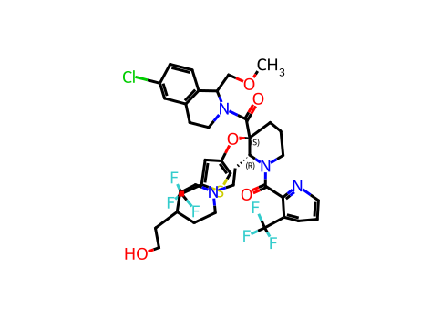 COCC1c2ccc(Cl)cc2CCN1C(=O)[C@]1(Oc2csc(C(F)(F)F)c2)CCCN(C(=O)c2ncccc2C(F)(F)F)[C@@H]1CCN1CCC(CCO)CC1